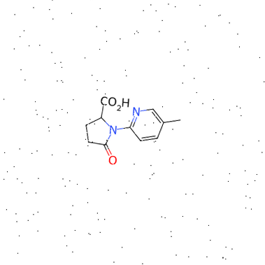 Cc1ccc(N2C(=O)CCC2C(=O)O)nc1